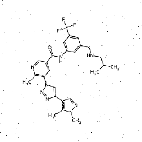 Cc1ncc(C(=O)Nc2cc(CNCC(C)C)cc(C(F)(F)F)c2)cc1-n1cc(-c2cnn(C)c2C)nn1